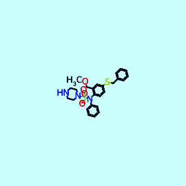 COC(=O)c1cc(SCc2ccccc2)ccc1N(c1ccccc1)S(=O)(=O)N1CCNCC1